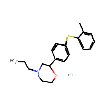 Cc1ccccc1Sc1ccc(C2CN(CCC(=O)O)CCO2)cc1.Cl